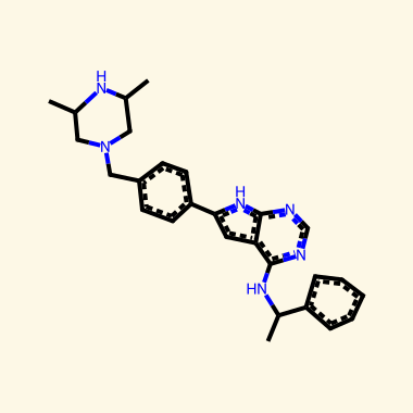 CC1CN(Cc2ccc(-c3cc4c(NC(C)c5ccccc5)ncnc4[nH]3)cc2)CC(C)N1